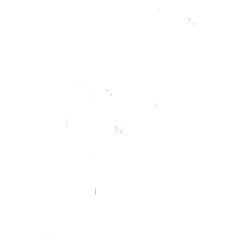 Cc1nc(OCc2ccc(F)cc2F)c(Cl)c(=O)n1Cc1cccc(C(N)=O)c1